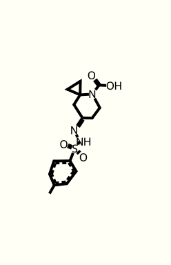 Cc1ccc(S(=O)(=O)N/N=C2\CCN(C(=O)O)C3(CC3)C2)cc1